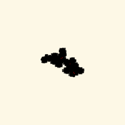 c1ccc(-c2c(N(c3cccc(-c4cccc5c4sc4ccc(-c6cccc(-c7c(N(c8cccc(-c9ccc%10c(c9)sc9ccccc9%10)c8)c8ccc9oc%10ccccc%10c9c8)c8ccccc8c8ccccc78)c6)cc45)c3)c3cccc4c3oc3ccccc34)c3ccccc3c3ccccc23)cc1